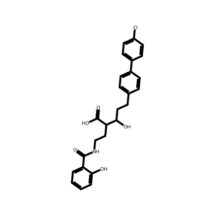 O=C(NCCC(C(=O)O)C(O)CCc1ccc(-c2ccc(Cl)cc2)cc1)c1ccccc1O